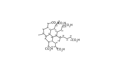 CC(CCCC(=O)O)C(CCCC(=O)O)C(CCCC(=O)O)C(CCCC(=O)O)C(CCCC(=O)O)C(C)CCCC(=O)O